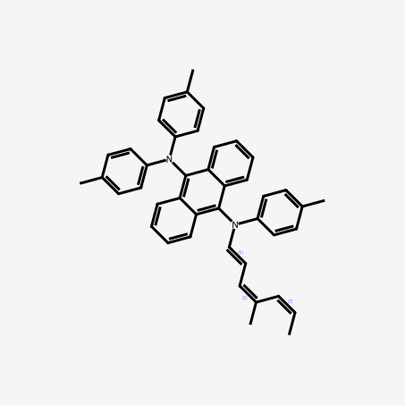 C\C=C/C(C)=C\C=C\N(c1ccc(C)cc1)c1c2ccccc2c(N(c2ccc(C)cc2)c2ccc(C)cc2)c2ccccc12